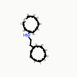 c1ccccc(CCNc2ccccccccc2)cccc1